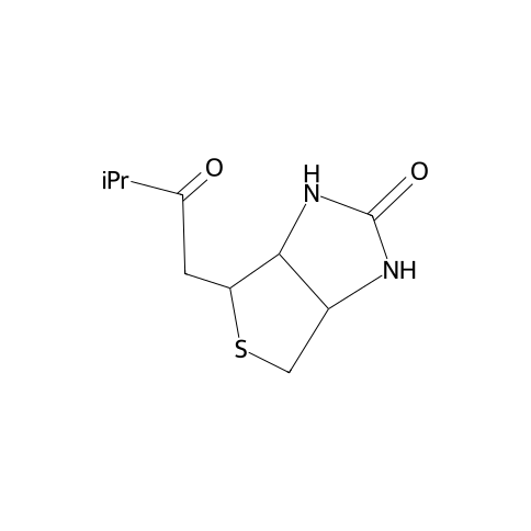 CC(C)C(=O)CC1SCC2NC(=O)NC21